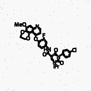 COc1cc2nccc(Oc3ccc(NC(=O)c4cn(C(C)C)c(=O)n(-c5ccc(Cl)cc5)c4=O)cc3F)c2c2c1OCCO2